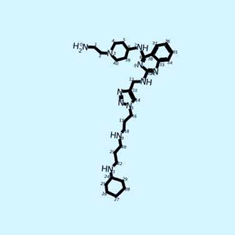 NCCN1CCC(Nc2nc(NCc3cn(CCCNCCCNC4CCCCC4)nn3)nc3ccccc23)CC1